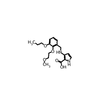 CCCOc1cccc(CNc2cc[nH]c2C(=O)O)c1OCCOC